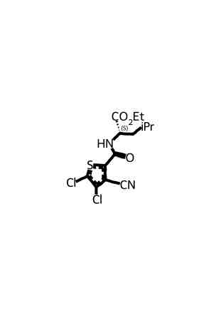 CCOC(=O)[C@H](CC(C)C)NC(=O)c1sc(Cl)c(Cl)c1C#N